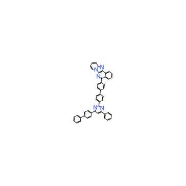 c1ccc(-c2ccc(-c3cc(-c4ccccc4)nc(-c4ccc(-c5ccc(-c6nc7c(nc8ccccn87)c7ccccc67)cc5)cc4)n3)cc2)cc1